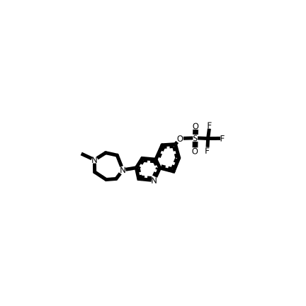 CN1CCCN(c2cnc3ccc(OS(=O)(=O)C(F)(F)F)cc3c2)CC1